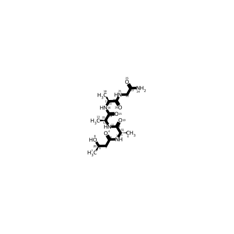 C[C@H](NC(=O)C[C@@H](C)O)C(=O)N[C@@H](C)C(=O)N[C@@H](C)C(=O)NCC(N)=O